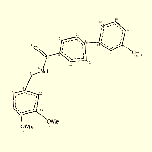 COc1ccc(CNC(=O)c2ccc(-c3cc(C)ccn3)cc2)cc1OC